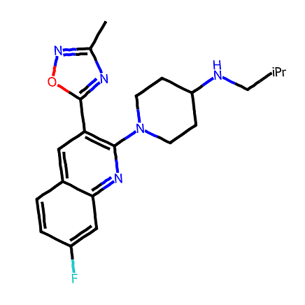 Cc1noc(-c2cc3ccc(F)cc3nc2N2CCC(NCC(C)C)CC2)n1